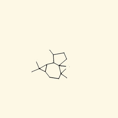 CC1CCC23OC2(C)CCC2C(C13)C2(C)C